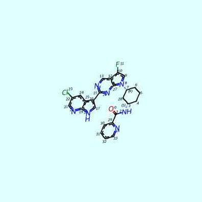 O=C(N[C@H]1CCC[C@@H](n2cc(F)c3cnc(-c4c[nH]c5ncc(Cl)cc45)nc32)C1)c1ccccn1